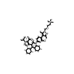 Cc1nn(COCC[Si](C)(C)C)c(C)c1-c1ccc(NC(=O)C(c2nnn(C(C)C)c2C(N)=O)C(C2CCCCC2)C2CCCCC2)nc1Cl